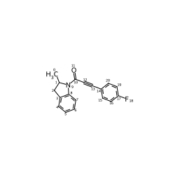 CC1Cc2ccccc2N1C(=O)C#Cc1ccc(F)cc1